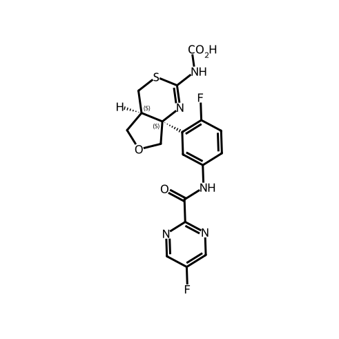 O=C(O)NC1=N[C@@]2(c3cc(NC(=O)c4ncc(F)cn4)ccc3F)COC[C@H]2CS1